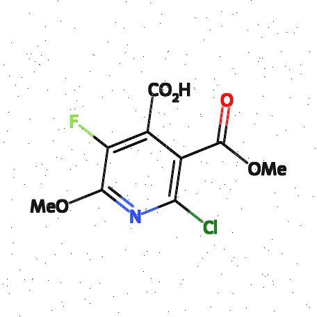 COC(=O)c1c(Cl)nc(OC)c(F)c1C(=O)O